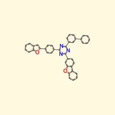 c1ccc(-c2cccc(-c3nc(-c4ccc(-c5cc6ccccc6o5)cc4)nc(-c4ccc5c(c4)oc4ccccc45)n3)c2)cc1